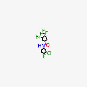 O=C(Nc1ccc(F)c(Cl)c1)c1ccc(C(F)(F)F)c(Br)c1